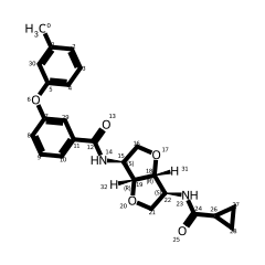 Cc1cccc(Oc2cccc(C(=O)N[C@H]3CO[C@H]4[C@@H]3OC[C@@H]4NC(=O)C3CC3)c2)c1